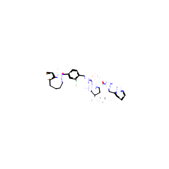 COC1C[C@@H](C(=O)N(C)Cc2ccccn2)N(C(=O)NCc2ccc(C(=O)N3CCCCc4sccc43)cc2Cl)C1